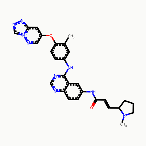 Cc1cc(Nc2ncnc3ccc(NC(=O)C=CC4CCCN4C)cc23)ccc1Oc1cnn2cnnc2c1